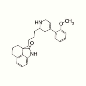 COc1ccccc1C1=CCNC(CCCCC23CCCc4cccc(c42)NC3=O)C1